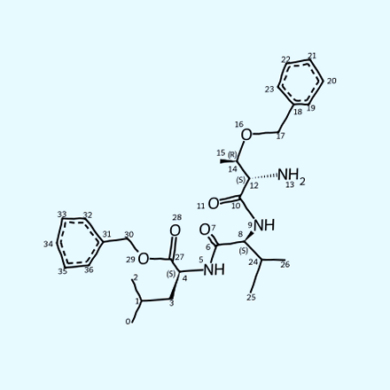 CC(C)C[C@H](NC(=O)[C@@H](NC(=O)[C@@H](N)[C@@H](C)OCc1ccccc1)C(C)C)C(=O)OCc1ccccc1